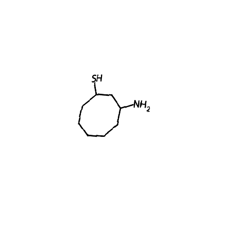 NC1CCCCCC(S)C1